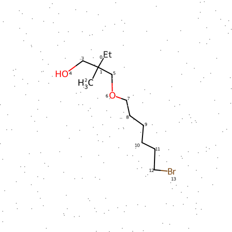 CCC(C)(CO)COCCCCCCBr